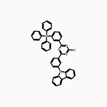 Clc1nc(-c2cccc(-n3c4ccccc4c4ccccc43)c2)nc(-c2cccc([Si](c3ccccc3)(c3ccccc3)c3ccccc3)c2)n1